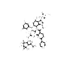 Cn1nc(NS(C)(=O)=O)c2c(Cl)ccc(-n3c([C@H](Cc4cc(F)cc(F)c4)NC(=O)Cn4nc(C(F)F)c5c4C(F)(F)[C@@H]4C[C@H]54)nc4nc(-c5ccncc5)ccc4c3=O)c21